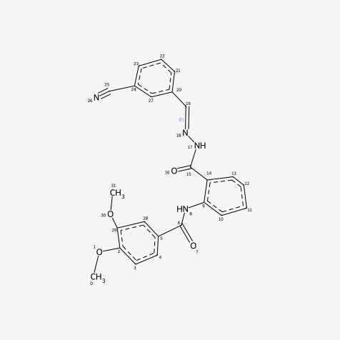 COc1ccc(C(=O)Nc2ccccc2C(=O)N/N=C/c2cccc(C#N)c2)cc1OC